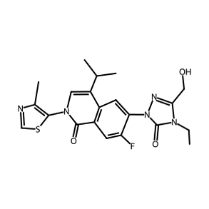 CCn1c(CO)nn(-c2cc3c(C(C)C)cn(-c4scnc4C)c(=O)c3cc2F)c1=O